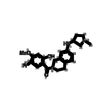 COc1cc(O)c(C(=O)N2CCc3ccc(NC4CCN(C)C4)cc3C2)cc1C(C)C